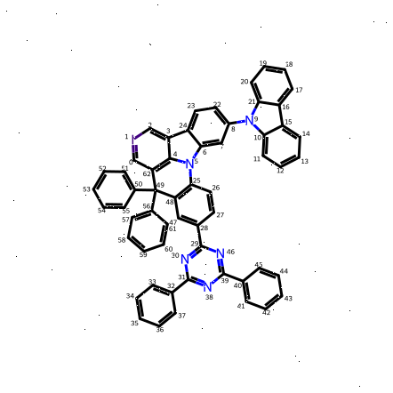 C1=IC=c2c3n(c4cc(-n5c6ccccc6c6ccccc65)ccc24)-c2ccc(-c4nc(-c5ccccc5)nc(-c5ccccc5)n4)cc2C(c2ccccc2)(c2ccccc2)C=31